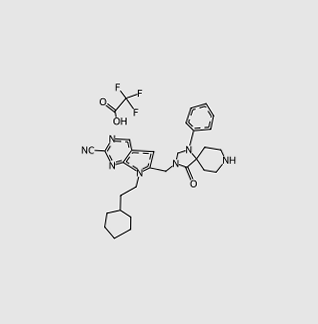 N#Cc1ncc2cc(CN3CN(c4ccccc4)C4(CCNCC4)C3=O)n(CCC3CCCCC3)c2n1.O=C(O)C(F)(F)F